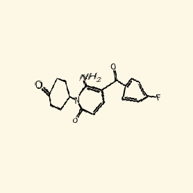 Nc1c(C(=O)c2ccc(F)cc2)ccc(=O)n1C1CCC(=O)CC1